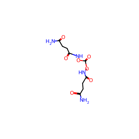 NC(=O)CCC(=O)NOC(=O)ONC(=O)CCC(N)=O